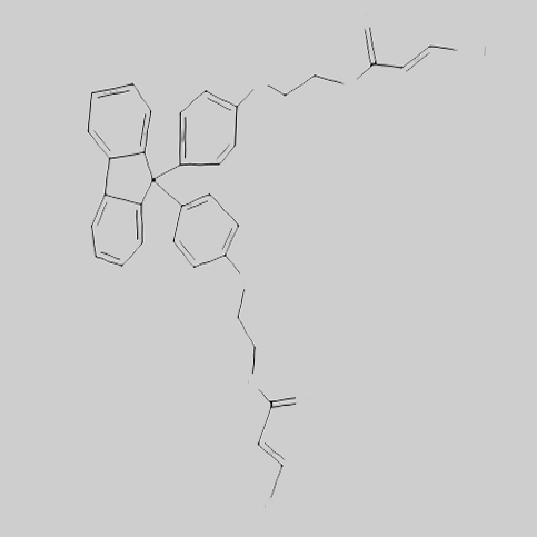 O=C(O)C=CC(=O)OCCOc1ccc(C2(c3ccc(OCCOC(=O)C=CC(=O)O)cc3)c3ccccc3-c3ccccc32)cc1